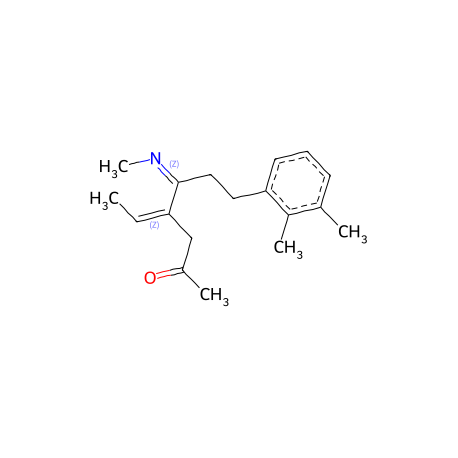 C/C=C(CC(C)=O)\C(CCc1cccc(C)c1C)=N/C